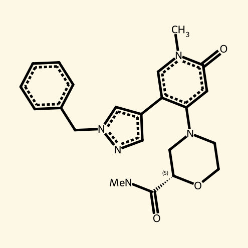 CNC(=O)[C@@H]1CN(c2cc(=O)n(C)cc2-c2cnn(Cc3ccccc3)c2)CCO1